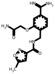 Cc1cc(C(=O)NCc2ccc(C(=N)N)cc2OCC(N)=O)no1